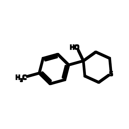 Cc1ccc(C2(O)CCSCC2)cc1